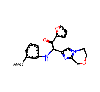 COc1cccc(NC(C(=O)c2ccco2)c2cn3c(n2)COCC3)c1